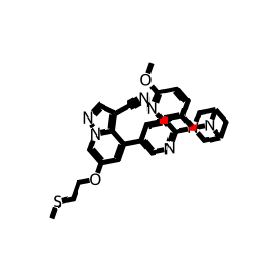 COc1ccc(CN2C3CC2CN(c2ccc(-c4cc(OCCSC)cn5ncc(C#N)c45)cn2)C3)cn1